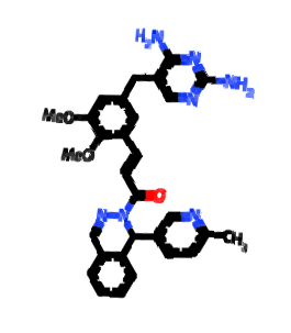 COc1cc(Cc2cnc(N)nc2N)cc(C=CC(=O)N2N=Cc3ccccc3C2c2ccc(C)nc2)c1OC